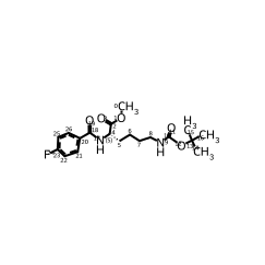 COC(=O)[C@H](CCCCNC(=O)OC(C)(C)C)NC(=O)c1ccc(F)cc1